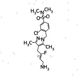 Cc1nn(Cc2ccc(S(=O)(=O)N(C)C)cc2Cl)c(C)c1C/C(F)=C/CN